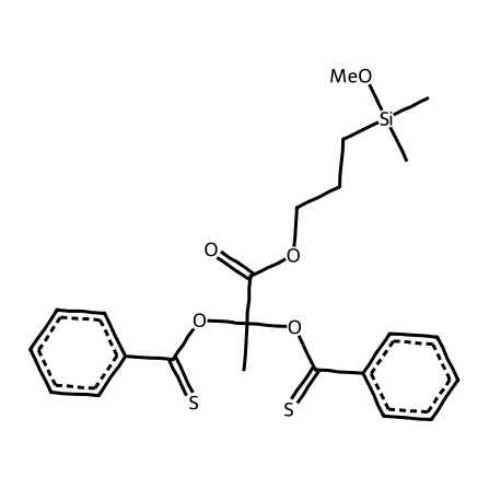 CO[Si](C)(C)CCCOC(=O)C(C)(OC(=S)c1ccccc1)OC(=S)c1ccccc1